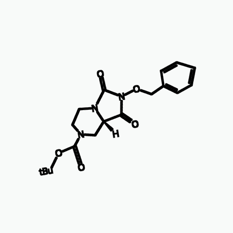 CC(C)(C)OC(=O)N1CCN2C(=O)N(OCc3ccccc3)C(=O)[C@@H]2C1